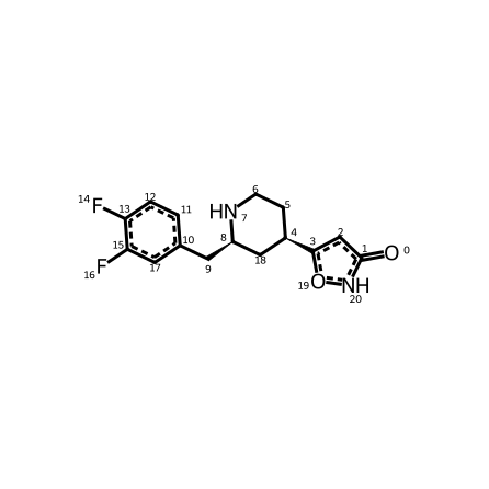 O=c1cc([C@@H]2CCN[C@H](Cc3ccc(F)c(F)c3)C2)o[nH]1